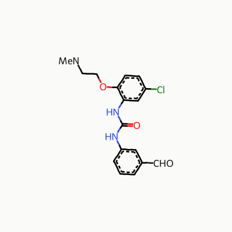 CNCCOc1ccc(Cl)cc1NC(=O)Nc1cccc(C=O)c1